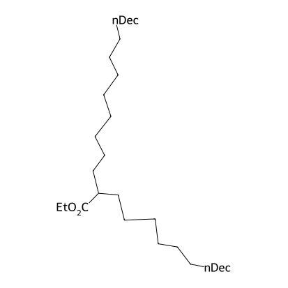 CCCCCCCCCCCCCCCCCCC(CCCCCCCCCCCCCCCC)C(=O)OCC